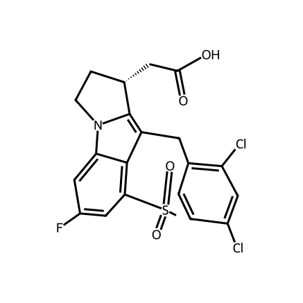 CS(=O)(=O)c1cc(F)cc2c1c(Cc1ccc(Cl)cc1Cl)c1n2CC[C@@H]1CC(=O)O